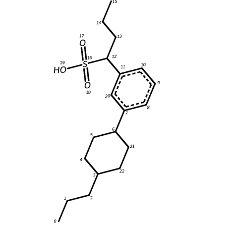 CCCC1CCC(c2cccc(C(CCC)S(=O)(=O)O)c2)CC1